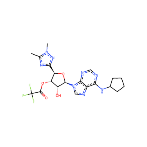 Cc1nc([C@H]2O[C@@H](n3cnc4c(NC5CCCC5)ncnc43)[C@H](O)[C@@H]2OC(=O)C(F)(F)F)nn1C